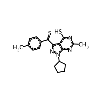 Cc1ccc(C(=S)c2nn(C3CCCC3)c3nc(C)nc(S)c23)cc1